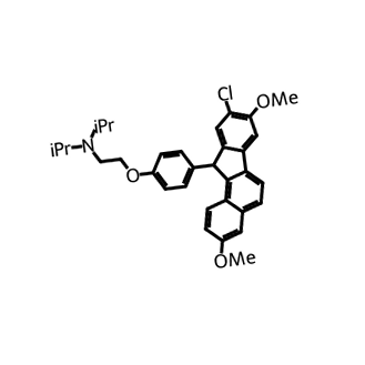 COc1ccc2c3c(ccc2c1)-c1cc(OC)c(Cl)cc1C3c1ccc(OCCN(C(C)C)C(C)C)cc1